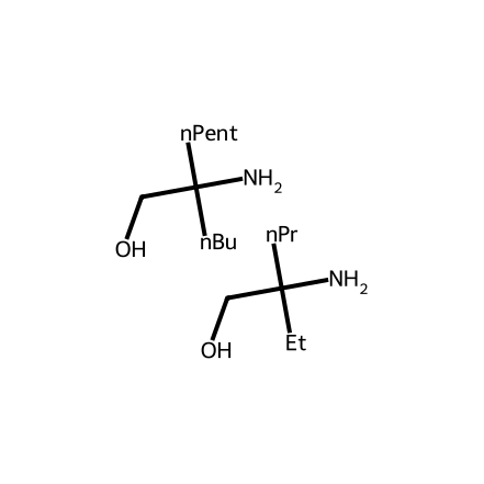 CCCC(N)(CC)CO.CCCCCC(N)(CO)CCCC